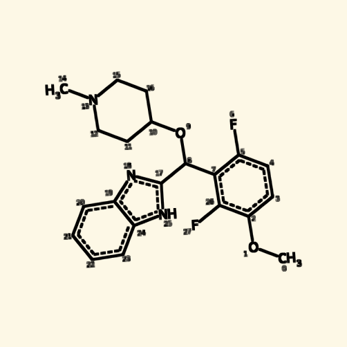 COc1ccc(F)c(C(OC2CCN(C)CC2)c2nc3ccccc3[nH]2)c1F